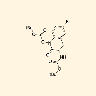 CC(C)(C)OC(=O)N[C@H]1Cc2cc(Br)ccc2N(OC(=O)OC(C)(C)C)C1=O